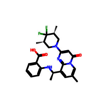 Cc1cc([C@@H](C)Nc2ccccc2C(=O)O)c2nc(N3C[C@@H](C)C(F)(F)[C@@H](C)C3)cc(=O)n2c1